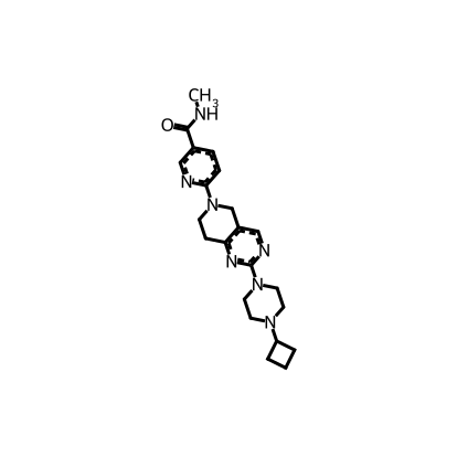 CNC(=O)c1ccc(N2CCc3nc(N4CCN(C5CCC5)CC4)ncc3C2)nc1